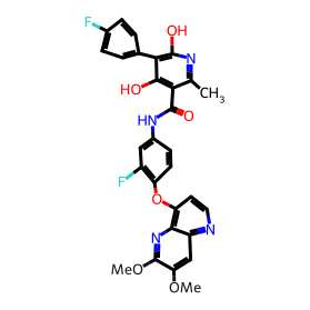 COc1cc2nccc(Oc3ccc(NC(=O)c4c(C)nc(O)c(-c5ccc(F)cc5)c4O)cc3F)c2nc1OC